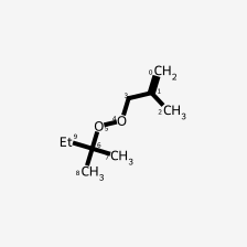 C=C(C)[CH]OOC(C)(C)CC